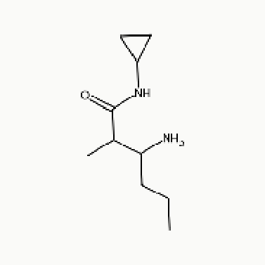 CCCC(N)C(C)C(=O)NC1CC1